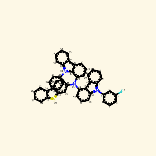 Fc1cccc(-n2c3ccccc3c3c(N(c4ccc5c(c4)sc4ccccc45)c4cccc5c6ccccc6n(-c6ccccc6)c45)cccc32)c1